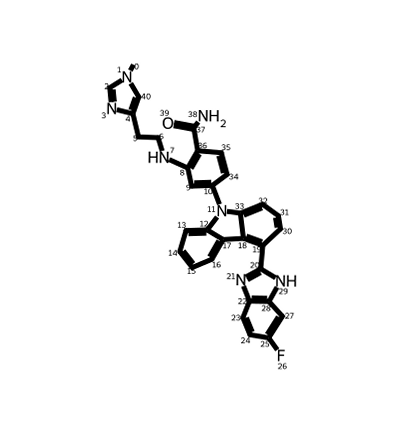 Cn1cnc(CCNc2cc(-n3c4ccccc4c4c(-c5nc6ccc(F)cc6[nH]5)cccc43)ccc2C(N)=O)c1